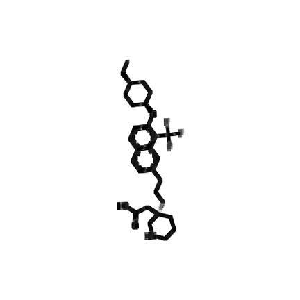 CC[C@H]1CC[C@@H](Oc2ccc3ccc(CCC[C@]4(CC(=O)O)CCCNC4)cc3c2C(F)(F)F)CC1